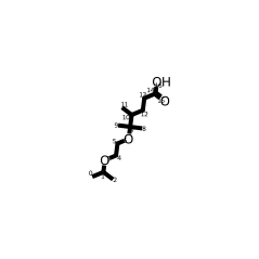 CC(C)OCCOC(C)(C)C(C)CCC(=O)O